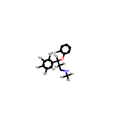 [2H]c1c([2H])c([2H])c(C([2H])(Oc2ccccc2C)C([2H])([2H])CNC([2H])([2H])[2H])c([2H])c1[2H]